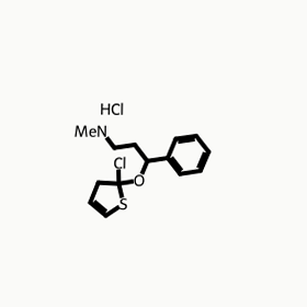 CNCCC(OC1(Cl)CC=CS1)c1ccccc1.Cl